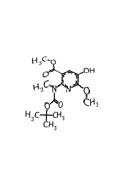 COC(=O)c1cc(O)c(OC)nc1N(C)C(=O)OC(C)(C)C